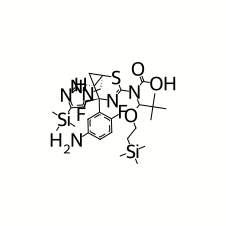 CC(C)(C)C(OCC[Si](C)(C)C)N(C(=O)O)C1=N[C@](CF)(c2cc(N)ccc2F)[C@H]2C[C@@]2(Cn2cc([Si](C)(C)C)nn2)S1